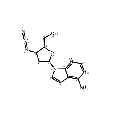 [N-]=[N+]=N[C@@H]1C[C@H](n2ccc3c(N)ncnc32)O[C@@H]1CO